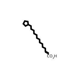 O=C(O)/C=C/CCCCCCCCCCCC1CCCC1